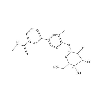 CNC(=O)c1cccc(-c2ccc(O[C@H]3OC(CO)[C@@H](O)C(O)C3F)c(C)c2)c1